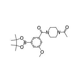 COc1cc(B2OC(C)(C)C(C)(C)O2)cc(C(=O)N2CCN(C(C)=O)CC2)c1